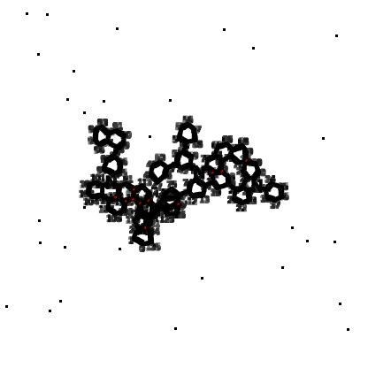 c1ccc(-c2cc(-c3ccc(-c4ccc(-c5cccc(-c6cccc7c6c6ccccc6n7-c6ccccc6)c5)c(N(c5cc(-c6ccccc6)cc(-c6ccccc6)c5)c5ccc6c(ccc7ccccc76)c5)c4)cc3)cc(-c3ccc(N(c4ccc(-c5cccc6ccccc56)cc4)c4ccccc4-c4cccc(-c5cccc6c5c5ccccc5n6-c5ccccc5)c4)cc3)c2)cc1